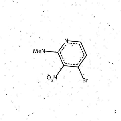 CNc1nccc(Br)c1[N+](=O)[O-]